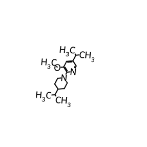 COc1cc(C(C)C)cnc1N1CCC(C(C)C)CC1